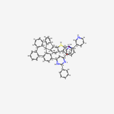 c1ccc(-c2nc(-c3ccc(-c4cccnc4)nc3)cc(-c3ccc4c(c3)C3(c5ccccc5-c5ccccc5-4)c4ccccc4-c4c3ccc3c4sc4ccccc43)n2)cc1